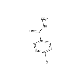 O=C(O)NC(=O)c1ccc(Cl)nn1